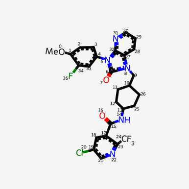 COc1ccc(-n2c(=O)n(CC3CCC(NC(=O)c4cc(Cl)cnc4C(F)(F)F)CC3)c3cccnc32)cc1F